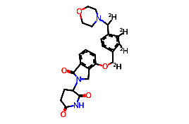 [2H]c1c(C([2H])Oc2cccc3c2CN(C2CCC(=O)NC2=O)C3=O)ccc(C([2H])N2CCOCC2)c1[2H]